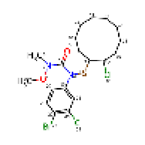 CON(C)C(=O)N(SC1CCCCCCCCC1Cl)c1ccc(Br)c(Cl)c1